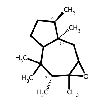 C[C@@H]1C(C)(C)C2CC[C@@H](C)[C@@]2(C)CC2OC21C